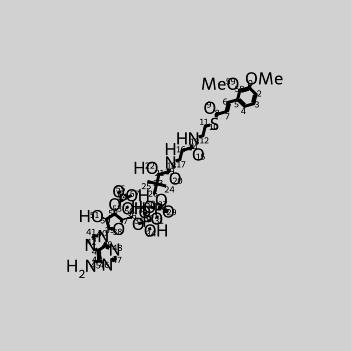 COc1cccc(C=CC(=O)SCCNC(=O)CCNC(=O)[C@H](O)C(C)(C)COP(=O)(O)OP(=O)(O)OC[C@H]2O[C@@H](n3cnc4c(N)ncnc43)[C@H](O)[C@@H]2OP(=O)(O)O)c1OC